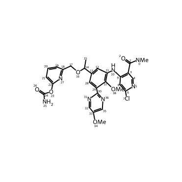 CNC(=O)c1cnc(Cl)cc1Nc1cc(C(C)OCc2cccc(OC(N)=O)n2)cc(-c2ncc(OC)cn2)c1OC